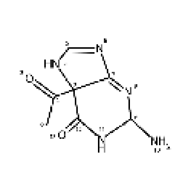 CC(=O)C12NC=NC1=NC(N)NC2=O